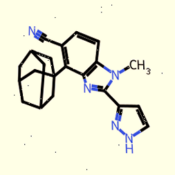 Cn1c(-c2cc[nH]n2)nc2c(C34CC5CC(CC(C5)C3)C4)c(C#N)ccc21